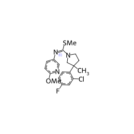 COc1ccc(/N=C(/SC)N2CCC(C)(c3ccc(F)cc3Cl)C2)cn1